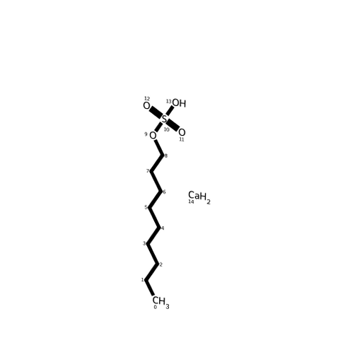 CCCCCCCCCOS(=O)(=O)O.[CaH2]